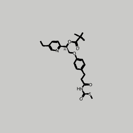 CCc1ccc([C@H](COc2ccc(CCC(=O)NC(=O)SC)cc2)OC(=O)C(C)(C)C)nc1